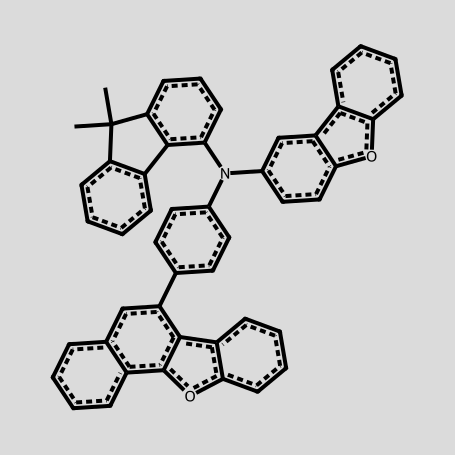 CC1(C)c2ccccc2-c2c(N(c3ccc(-c4cc5ccccc5c5oc6ccccc6c45)cc3)c3ccc4oc5ccccc5c4c3)cccc21